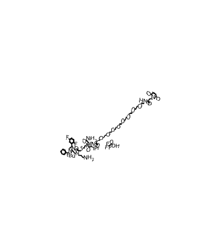 CC(C)[C@H](NC(=O)CCOCCOCCOCCOCCOCCOCCOCCOCCNC(=O)CCN1C(=O)C=CC1=O)C(=O)N(CCSCC(=O)N(CCCN)[C@@H](c1nc(-c2cc(F)ccc2F)cn1Cc1ccccc1)C(C)(C)C)[C@@H](C)C(N)=O.O=C(O)C(F)(F)F